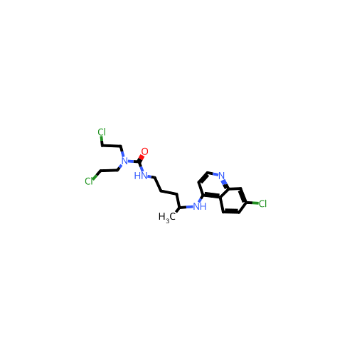 CC(CCCNC(=O)N(CCCl)CCCl)Nc1ccnc2cc(Cl)ccc12